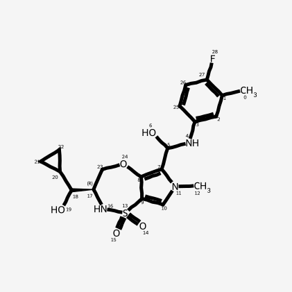 Cc1cc(NC(O)c2c3c(cn2C)S(=O)(=O)N[C@@H](C(O)C2CC2)CO3)ccc1F